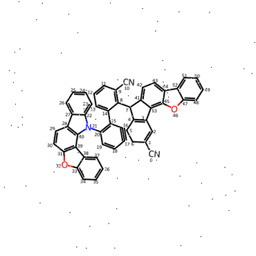 N#CC1=CC2=C(CC1)C(c1c(C#N)cccc1-c1c#cccc1-n1c3ccccc3c3ccc4oc5ccccc5c4c31)c1ccc3c(oc4ccccc43)c12